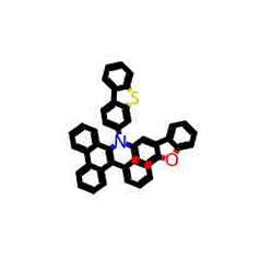 c1ccc(-c2c(N(c3ccc4c(c3)sc3ccccc34)c3ccc4oc5ccccc5c4c3)c3ccccc3c3ccccc23)cc1